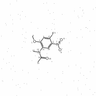 COc1cc(F)c([N+](=O)[O-])cc1N(C)C(C)=O